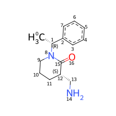 C[C@H](c1ccccc1)N1CCC[C@@H](CN)C1=O